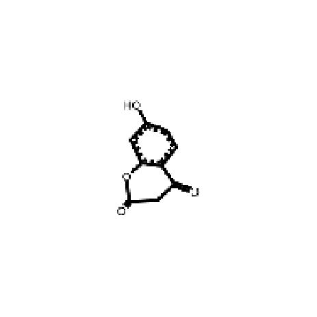 O=C1CC(=O)c2ccc(O)cc2O1